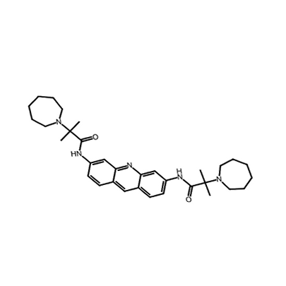 CC(C)(C(=O)Nc1ccc2cc3ccc(NC(=O)C(C)(C)N4CCCCCC4)cc3nc2c1)N1CCCCCC1